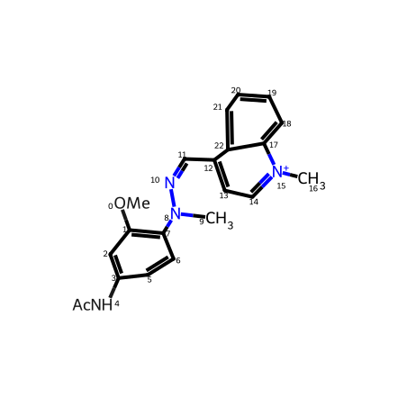 COc1cc(NC(C)=O)ccc1N(C)/N=C\c1cc[n+](C)c2ccccc12